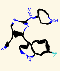 N#Cc1cnc(NC2CCNCC2)nc1-c1c[nH]c2cc(F)ccc12